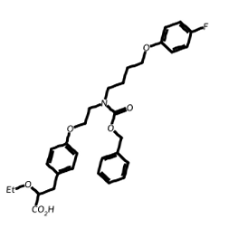 CCOC(Cc1ccc(OCCN(CCCCOc2ccc(F)cc2)C(=O)OCc2ccccc2)cc1)C(=O)O